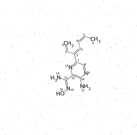 C=C/C(=C\C=C/C)c1cnc(N)c(/C(N)=N/O)n1